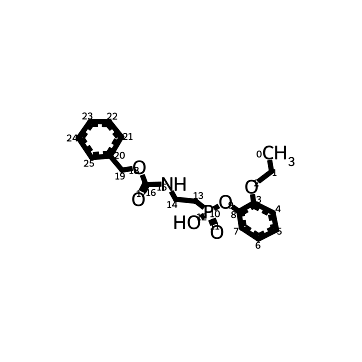 CCOc1ccccc1OP(=O)(O)CCNC(=O)OCc1ccccc1